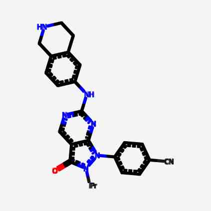 CC(C)n1c(=O)c2cnc(Nc3ccc4c(c3)CCNC4)nc2n1-c1ccc(C#N)cc1